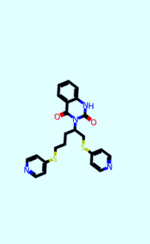 O=c1[nH]c2ccccc2c(=O)n1C(CCCSc1ccncc1)CSc1ccncc1